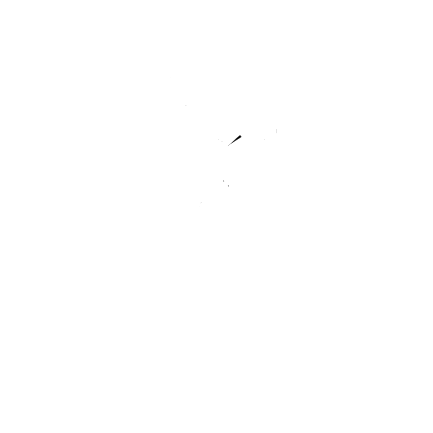 CCOC(=O)[C@H](CC1(C)CC1)NC(=O)OCc1ccccc1